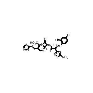 Nc1nc(C(=NOc2ccc(Cl)cc2Cl)C(=O)NC2C(=O)N3C(C(=O)O)=C(CSc4nncs4)CS[C@@H]23)ns1